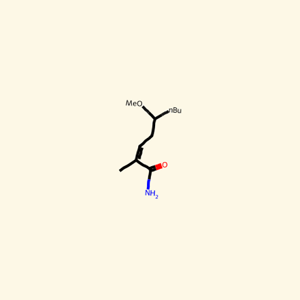 CCCCC(CC=C(C)C(N)=O)OC